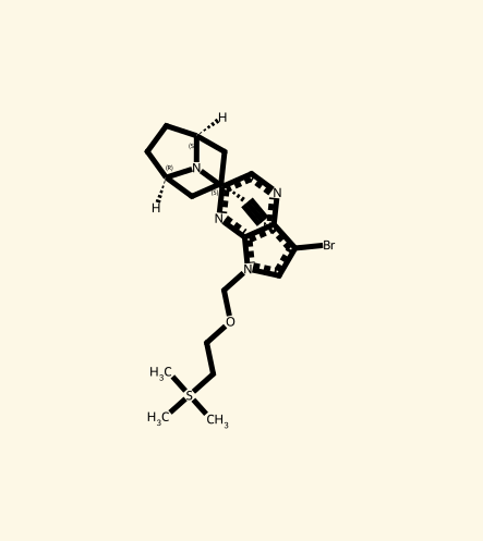 CS(C)(C)CCOCn1cc(Br)c2ncc(N3[C@@H]4CC[C@H]3C[C@H](C#N)C4)nc21